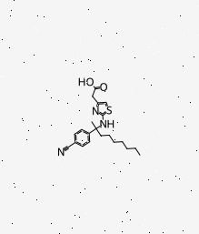 CCCCCCCC(C)(Nc1nc(CC(=O)O)cs1)c1ccc(C#N)cc1